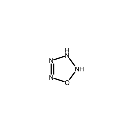 N1=NONN1